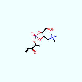 C=CC(=O)C(C)OP(=O)(OCCO)OCC[N+](C)(C)C